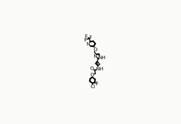 O=C(COc1ccc(Cl)c(F)c1)NC12CC(c3nc(COc4ccc(C(F)(F)F)nc4)c[nH]3)(C1)C2